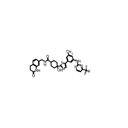 Cc1cc(Nc2nccc(C(F)(F)F)n2)cc(-c2cnc(C3(O)CCC(C(=O)NCc4ccc5c(c4)NC(=O)CC5)CC3)s2)c1